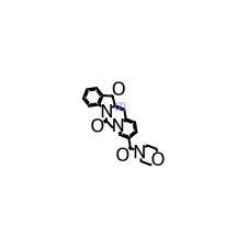 CC(=O)N1/C(=C\c2ccc(C(=O)N3CCOCC3)cn2)C(=O)c2ccccc21